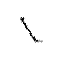 COCOCOCCCOCOCCCOCOCCCOCCOCCO